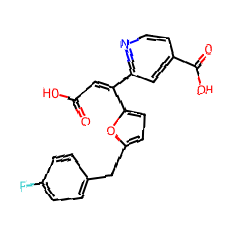 O=C(O)C=C(c1cc(C(=O)O)ccn1)c1ccc(Cc2ccc(F)cc2)o1